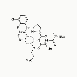 CN[C@@H](C)C(=O)N[C@H](C(=O)N(C(=O)[C@@H]1CCCN1)c1cc2c(Nc3cccc(Cl)c3F)ncnc2cc1OCCOC)C(C)(C)C